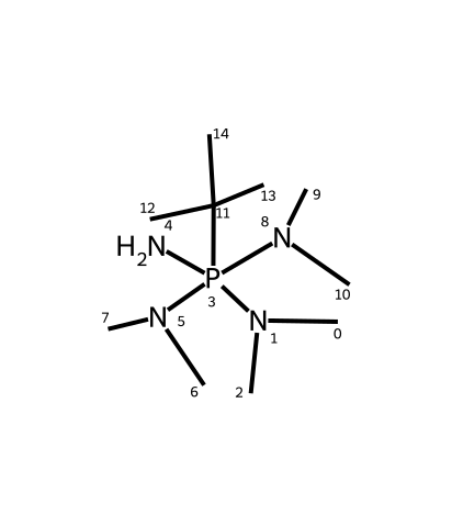 CN(C)P(N)(N(C)C)(N(C)C)C(C)(C)C